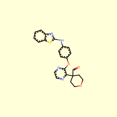 O=CC1(c2nccnc2Oc2ccc(Nc3nc4ccccc4s3)cc2)CCOCC1